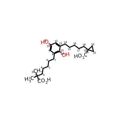 CC(C)(CCCCCc1cc(O)cc(CCCCCC2(C(=O)O)CC2)c1O)C(=O)O